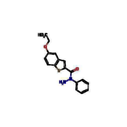 NN(C(=O)c1cc2cc(OCC(=O)O)ccc2s1)c1ccccc1